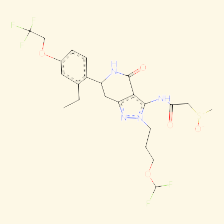 CCc1cc(OCC(F)(F)F)ccc1C1Cc2nn(CCCOC(F)F)c(NC(=O)C[S+](C)[O-])c2C(=O)N1